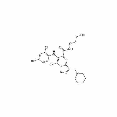 O=C(NOCCO)c1cn2c(CN3CCCCC3)cnc2c(Cl)c1Nc1ccc(Br)cc1Cl